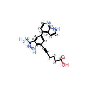 Nc1n[nH]c2c(C#CCCCC(=O)O)cc(-c3ccnc4[nH]ccc34)cc12